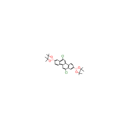 CC1(C)OB(c2ccc3c(c2)c(Cl)cc2c4ccc(B5OC(C)(C)C(C)(C)O5)cc4c(Cl)cc32)OC1(C)C